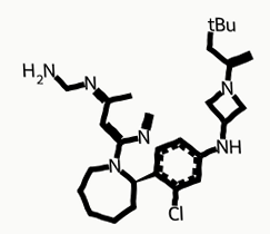 C=N/C(=C\C(C)=N/CN)N1CCCCC[C@@H]1c1ccc(NC2CN(C(=C)CC(C)(C)C)C2)cc1Cl